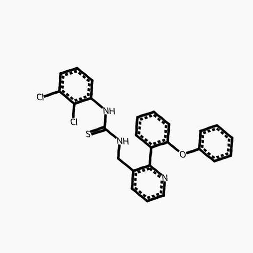 S=C(NCc1cccnc1-c1ccccc1Oc1ccccc1)Nc1cccc(Cl)c1Cl